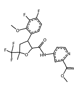 COC(=O)c1cc(NC(=O)C2OC(C)(C(F)(F)F)CC2c2ccc(F)c(F)c2OC)ccn1